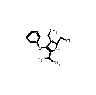 CCN1C(Sc2ccccc2)=C(C(C)C)NC1CCl